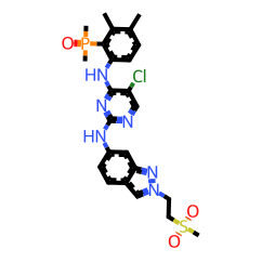 Cc1ccc(Nc2nc(Nc3ccc4cn(CCS(C)(=O)=O)nc4c3)ncc2Cl)c(P(C)(C)=O)c1C